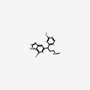 CNCCC(c1cccc(F)c1)c1cc(F)c2[nH]ccc2c1